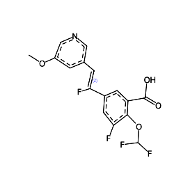 COc1cncc(/C=C(\F)c2cc(F)c(OC(F)F)c(C(=O)O)c2)c1